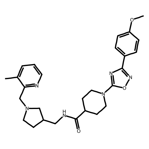 COc1ccc(-c2noc(N3CCC(C(=O)NCC4CCN(Cc5ncccc5C)C4)CC3)n2)cc1